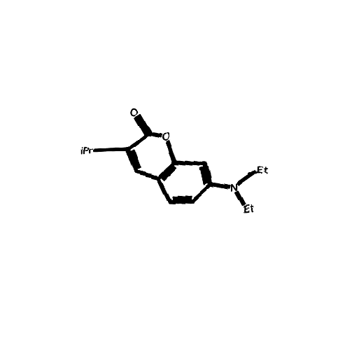 CCN(CC)c1ccc2cc(C(C)C)c(=O)oc2c1